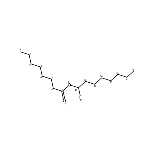 CCCCCCCC(=O)OC(F)CCCCCCC